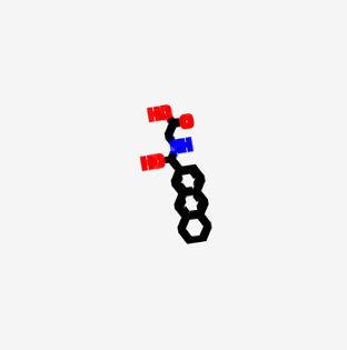 O=C(O)CNC(O)c1ccc2cc3c(cc2c1)CCCC3